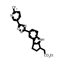 CCOC(=O)CC1CCc2c1[nH]c1ccc(-c3noc(-c4ccc(C(F)(F)F)nc4)n3)cc21